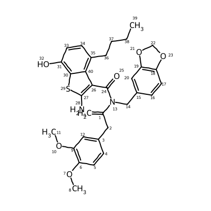 C=C(Cc1ccc(OC)c(OC)c1)N(Cc1ccc2c(c1)OCO2)C(=O)c1c(N)sc2c(O)ccc(CCCC)c12